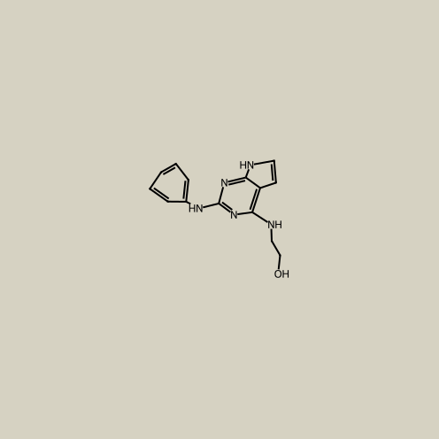 OCCNc1nc(Nc2ccccc2)nc2[nH]ccc12